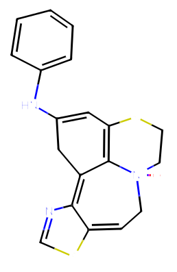 [O-][N+]12CC=c3scnc3=C3CC(Nc4ccccc4)=CC(=C31)SCC2